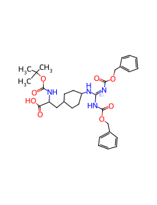 CC(C)(C)OC(=O)NC(CC1CCC(N/C(=N\C(=O)OCc2ccccc2)NC(=O)OCc2ccccc2)CC1)C(=O)O